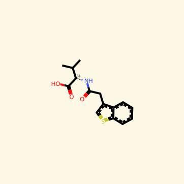 CC(C)[C@H](NC(=O)Cc1csc2ccccc12)C(=O)O